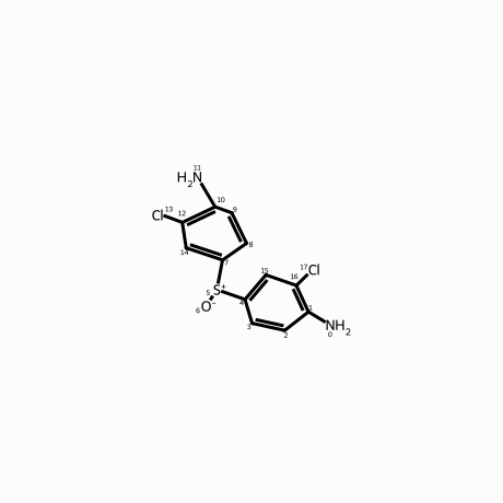 Nc1ccc([S+]([O-])c2ccc(N)c(Cl)c2)cc1Cl